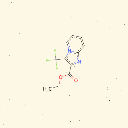 CCOC(=O)c1nc2ccccn2c1C(F)(F)F